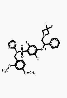 COc1ccc(CN(c2nccs2)S(=O)(=O)c2cc(Cl)c(NC(CN3CC(F)(F)C3)c3ccccc3)cc2F)c(OC)c1